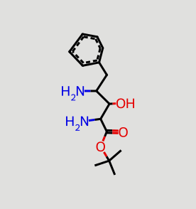 CC(C)(C)OC(=O)C(N)C(O)C(N)Cc1ccccc1